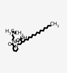 CCCCCCCCCCCCCCCCC(CCN1CCCCC1C(=O)NCCCN(C)C)C(=O)O